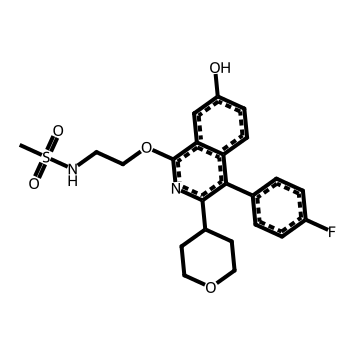 CS(=O)(=O)NCCOc1nc(C2CCOCC2)c(-c2ccc(F)cc2)c2ccc(O)cc12